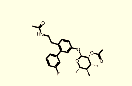 CC(=O)NCCc1ccc(O[C@@H]2O[C@@H](C)[C@H](C)[C@@H](C)[C@H]2OC(C)=O)cc1-c1cccc(F)c1